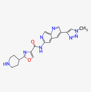 Cn1cc(-c2cnc3cnc(NC(=O)c4coc(C5CCNCC5)n4)cc3c2)nn1